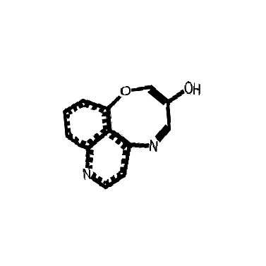 OC1=COc2cccc3nccc(c23)N=C1